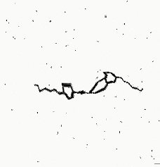 CCCCCCCc1ccc(C#Cc2ccc3cc(CCCCCCC)ccc3c2)cc1